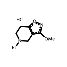 CCN1CCc2onc(OC)c2C1.Cl